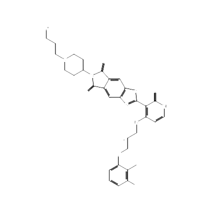 Cc1c(Cl)cccc1OC[C@H](O)CNc1cc[nH]c(=O)c1-c1nc2cc3c(cc2[nH]1)C(=O)N(C1CCN(CCCO)CC1)C3=O